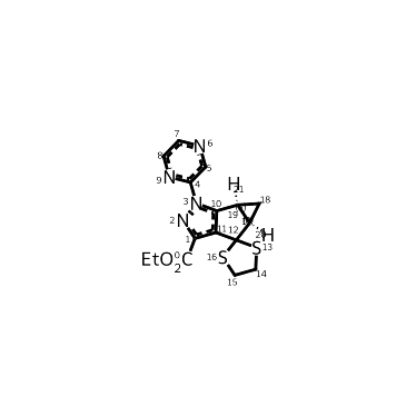 CCOC(=O)c1nn(-c2cnccn2)c2c1C1(SCCS1)[C@@H]1C[C@H]21